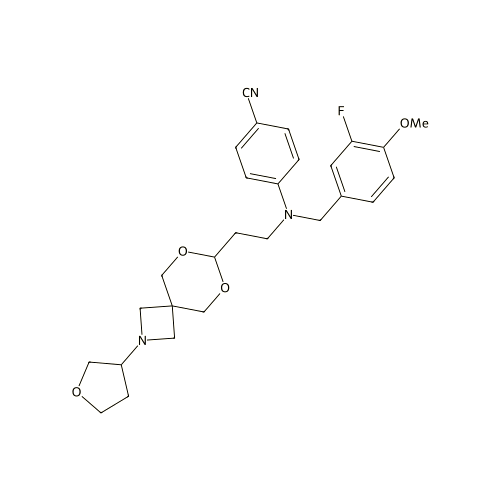 COc1ccc(CN(CCC2OCC3(CO2)CN(C2CCOC2)C3)c2ccc(C#N)cc2)cc1F